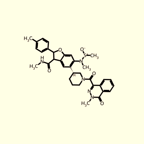 CNC(=O)C1c2cc([C@H]3CCCN(C(=O)c4nn(C)c(=O)c5ccccc45)C3)c(N(C)[S+](C)[O-])cc2OC1c1ccc(C)cc1